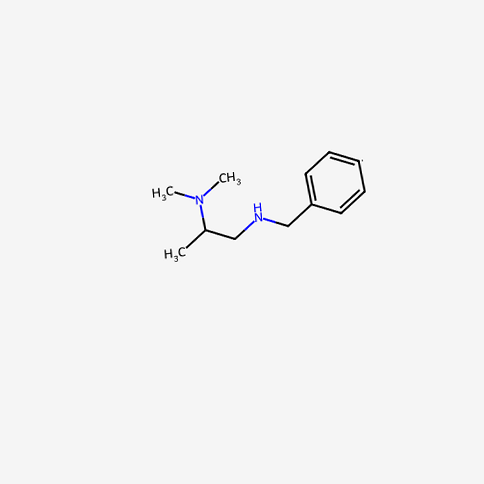 CC(CNCc1cc[c]cc1)N(C)C